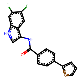 O=C(Nc1c[nH]c2cc(F)c(F)cc12)c1ccc(-c2cccs2)cc1